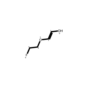 OC=COCCF